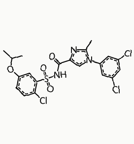 Cc1nc(C(=O)NS(=O)(=O)c2cc(OC(C)C)ccc2Cl)cn1-c1cc(Cl)cc(Cl)c1